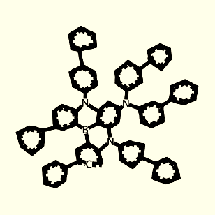 c1ccc(-c2ccc(N3c4ccc(-c5ccccc5)cc4B4c5cc(-c6ccccc6)ccc5N(c5ccc(-c6ccccc6)cc5)c5cc(N(c6cccc(-c7ccccc7)c6)c6cccc(-c7ccccc7)c6)cc3c54)cc2)cc1